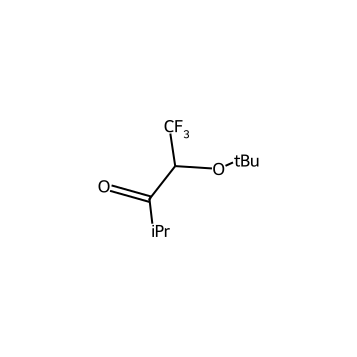 CC(C)C(=O)C(OC(C)(C)C)C(F)(F)F